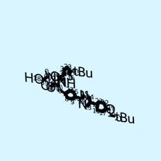 C[C@@H](NC(=O)[C@H](Cc1ccc(-c2ncc(-c3ccc(OCC(C)(C)C)cc3)cn2)cc1)NC(=O)c1ccc(C(C)(C)C)s1)C(O)O